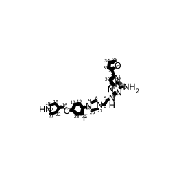 Nc1nc(NCCN2CCN(c3ccc(OCC4CCNCC4)cc3F)CC2)nc2cc(-c3ccco3)nn12